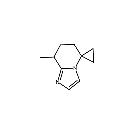 CC1CCC2(CC2)n2ccnc21